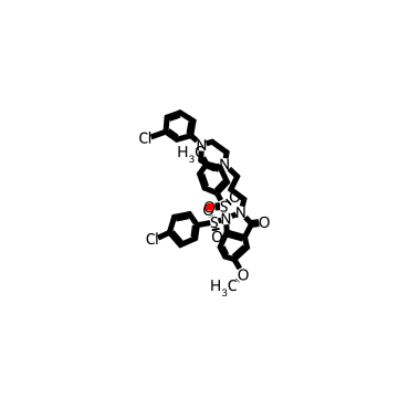 COc1ccc2c(c1)C(=O)N(CCCN1CCN(c3cccc(Cl)c3)CC1)[N+]2(S(=O)(=O)c1ccc(C)cc1)S(=O)(=O)c1ccc(Cl)cc1